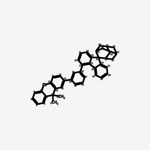 CC1(C)c2ccccc2Oc2ccc(-c3cccc(-c4cccc5c4-c4ccccc4C54C5CC6CC(C5)CC4C6)c3)cc21